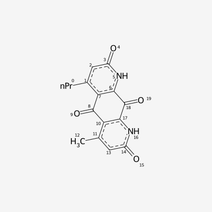 CCCc1cc(=O)[nH]c2c1C(=O)c1c(C)cc(=O)[nH]c1C2=O